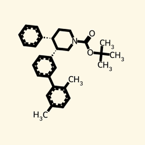 Cc1ccc(C)c(-c2cccc([C@H]3CN(C(=O)OC(C)(C)C)CC[C@H]3c3ccccc3)c2)c1